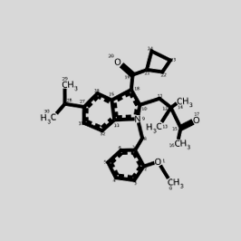 COc1ccccc1Cn1c(CC(C)(C)C(C)=O)c(C(=O)C2CCC2)c2cc(C(C)C)ccc21